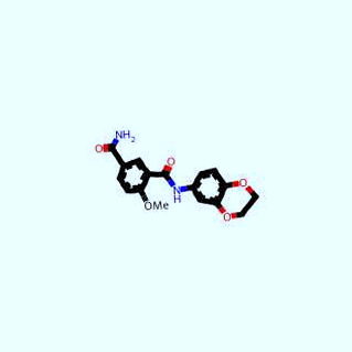 COc1ccc(C(N)=O)cc1C(=O)Nc1ccc2c(c1)OCCO2